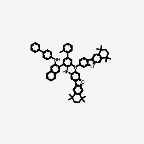 Cc1ccccc1-c1cc(-c2cc3ccccc3cc2Nc2ccc(-c3ccccc3)cc2)c2c(c1)N(c1ccc3c(c1)oc1cc4c(cc13)C(C)(C)CCC4(C)C)c1cc3oc4cc5c(cc4c3cc1B2)C(C)(C)CCC5(C)C